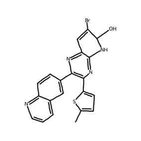 Cc1ccc(-c2nc3c(nc2-c2ccc4ncccc4c2)C=C(Br)C(O)N3)s1